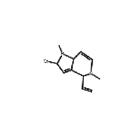 C=CC1C2=CC(CC)N(C)C2C=CN1C